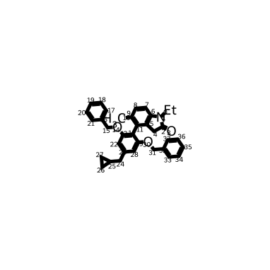 CCN1C(=O)Cc2c1ccc(C)c2-c1c(OCc2ccccc2)cc(CC2CC2)cc1OCc1ccccc1